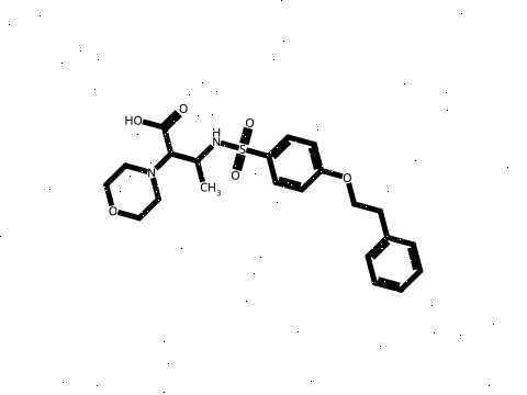 CC(NS(=O)(=O)c1ccc(OCCc2ccccc2)cc1)C(C(=O)O)N1CCOCC1